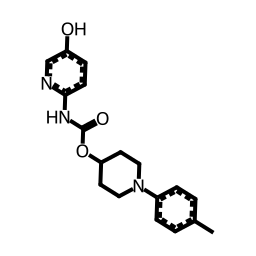 Cc1ccc(N2CCC(OC(=O)Nc3ccc(O)cn3)CC2)cc1